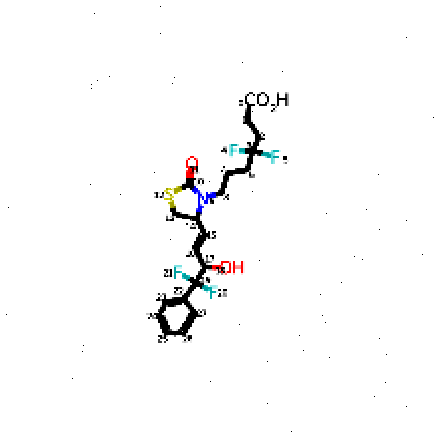 O=C(O)CCC(F)(F)CCCN1C(=O)SCC1/C=C/C(O)C(F)(F)c1ccccc1